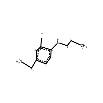 CCCNc1ccc(CN)cc1F